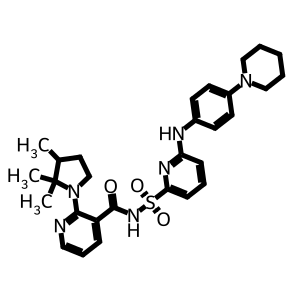 CC1CCN(c2ncccc2C(=O)NS(=O)(=O)c2cccc(Nc3ccc(N4CCCCC4)cc3)n2)C1(C)C